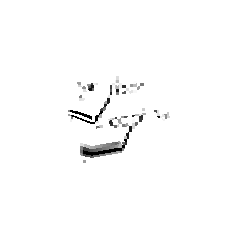 C=CC(=O)[O-].C=CC(=O)[O-].[Na+].[Na+]